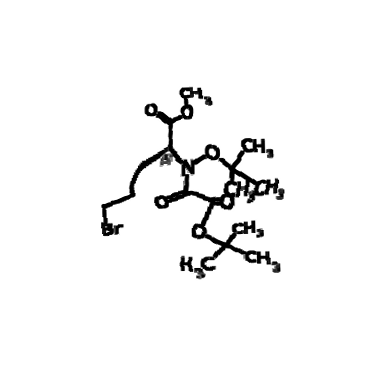 COC(=O)[C@H](CCCBr)N(OC(C)(C)C)C(=O)C(=O)OC(C)(C)C